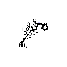 C[C@@]1(COC(=O)NCCCN)CC2/C(=C\c3ccccn3)C(=O)N2[C@H]1C(=O)O